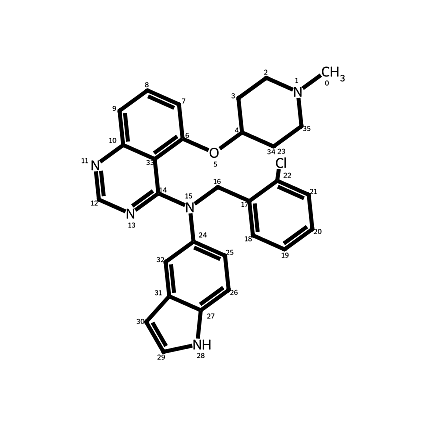 CN1CCC(Oc2cccc3ncnc(N(Cc4ccccc4Cl)c4ccc5[nH]ccc5c4)c23)CC1